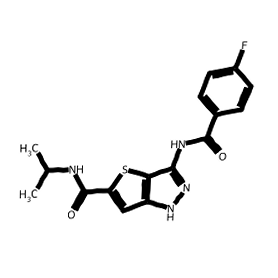 CC(C)NC(=O)c1cc2[nH]nc(NC(=O)c3ccc(F)cc3)c2s1